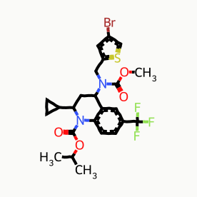 COC(=O)N(Cc1cc(Br)cs1)C1CC(C2CC2)N(C(=O)OC(C)C)c2ccc(C(F)(F)F)cc21